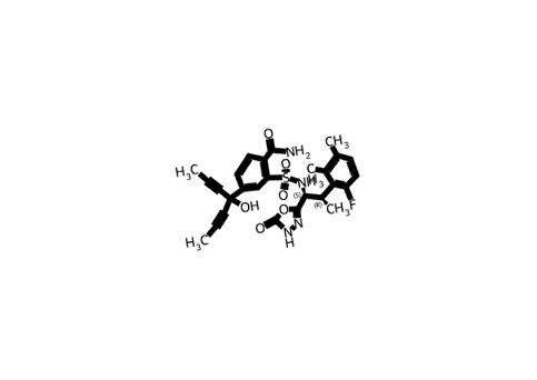 CC#CC(O)(C#CC)c1ccc(C(N)=O)c(S(=O)(=O)N[C@H](c2n[nH]c(=O)o2)[C@H](C)c2c(F)ccc(C)c2C)c1